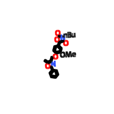 CCCCN1C(=O)OC(c2ccc(OCc3nc(-c4ccccc4)oc3C)c(OC)c2)C1=O